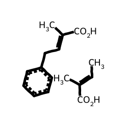 C/C(=C\Cc1ccccc1)C(=O)O.C/C=C(\C)C(=O)O